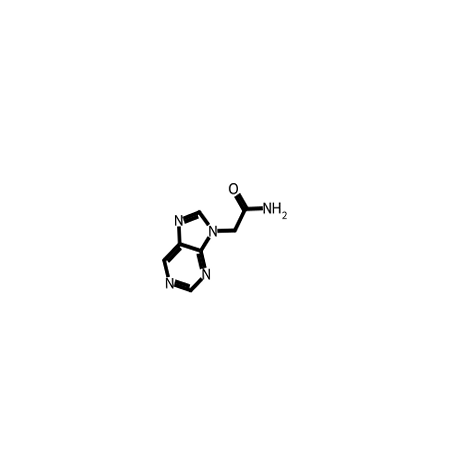 NC(=O)Cn1cnc2cncnc21